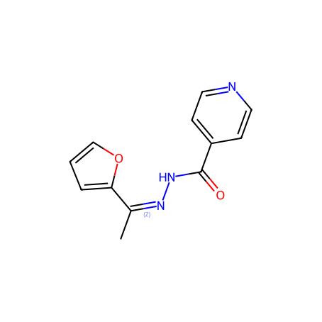 C/C(=N/NC(=O)c1ccncc1)c1ccco1